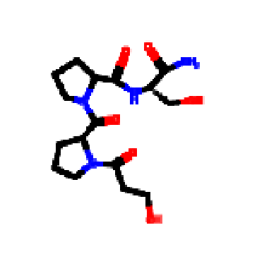 NC(=O)[C@H](CO)NC(=O)C1CCCN1C(=O)[C@@H]1CCCN1C(=O)CCO